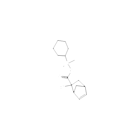 CCC1(C(=O)O[Si](C)(C)C2CCCCC2)CC2C=CC1C2